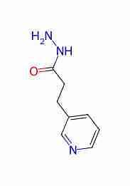 NNC(=O)CCc1cccnc1